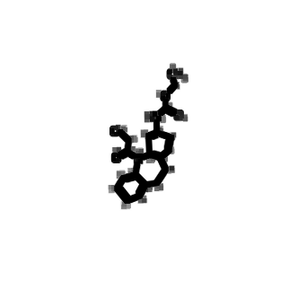 CCOC(=O)Nc1ccc2c(c1)N(C(=O)CCl)c1ccccc1CC2